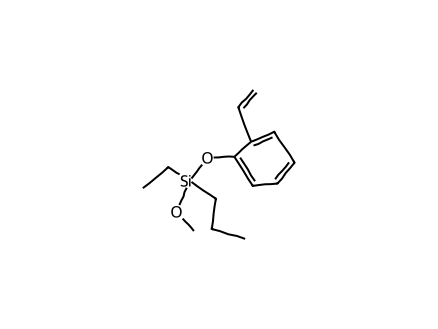 C=Cc1ccccc1O[Si](CC)(CCC)OC